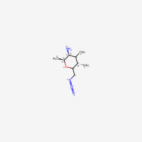 CC(=O)OC1[C@H](OC(C)=O)C(CN=[N+]=[N-])O[C@@H](OC(C)=O)[C@H]1N